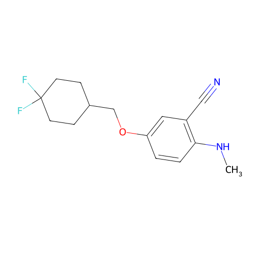 CNc1ccc(OCC2CCC(F)(F)CC2)cc1C#N